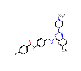 CCOC(=O)N1CCN(c2nc(NCc3ccc(NC(=O)c4ccc(F)cc4)cc3)c3cc(C)ccc3n2)CC1